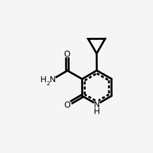 NC(=O)c1c(C2CC2)cc[nH]c1=O